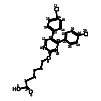 O=C(O)CCCCCOc1ncc(-c2ccc(Cl)cc2)c(-c2ccc(Cl)cc2)n1